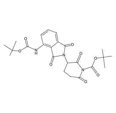 CC(C)(C)OC(=O)Nc1cccc2c1C(=O)N(C1CCC(=O)N(C(=O)OC(C)(C)C)C1=O)C2=O